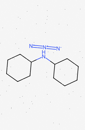 C1CCC(NC2CCCCC2)CC1.[N-]=[N+]=[N-]